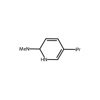 CNC1C=CC(C(C)C)=CN1